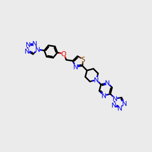 c1cc(-n2cnnn2)ccc1OCc1csc(C2CCN(c3cnc(-n4cnnn4)cn3)CC2)n1